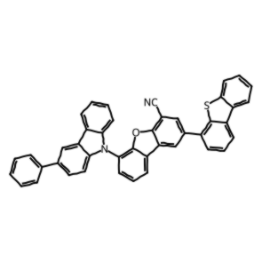 N#Cc1cc(-c2cccc3c2sc2ccccc23)cc2c1oc1c(-n3c4ccccc4c4cc(-c5ccccc5)ccc43)cccc12